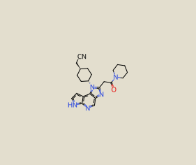 N#CC[C@H]1CC[C@H](n2c(CC(=O)N3CCCCC3)nc3cnc4[nH]ccc4c32)CC1